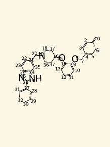 C=C/C=C\C(=C/C)COc1ccccc1OC1CCN(Cc2ccc3nc(C(/C=C\C)=C/C)[nH]c3c2)CC1